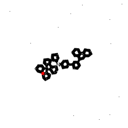 c1ccc(N(c2ccc(-c3cccc(-c4cc5ccccc5c5ccccc45)c3)cc2)c2cccc3c2-c2ccccc2C3(c2ccccc2)c2ccccc2)cc1